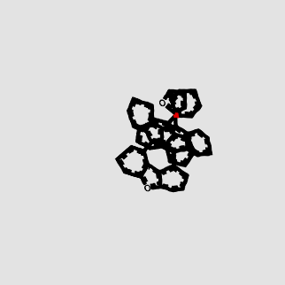 c1ccc(-c2c3ccccc3c(-c3cccc4oc5cccc(-c6c7ccccc7c(-c7ccco7)c7ccccc67)c5c34)c3ccccc23)cc1